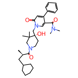 C[C@H](CC1CCCCC1)C(=O)N1CC[C@](O)(Cn2cc(C(=O)N(C)C)c(-c3ccccc3)cc2=O)C(C)(C)C1